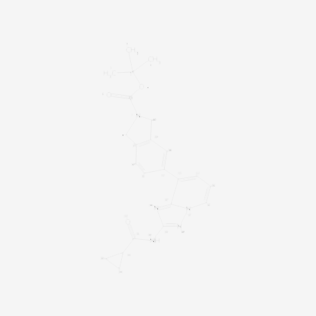 CC(C)(C)OC(=O)N1Cc2ccc(-c3cccn4nc(NC(=O)C5CC5)nc34)cc2C1